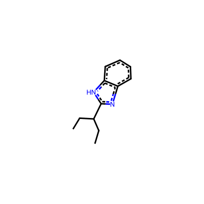 CCC(CC)c1nc2ccccc2[nH]1